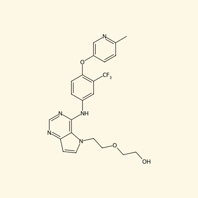 Cc1ccc(Oc2ccc(Nc3ncnc4ccn(CCOCCO)c34)cc2C(F)(F)F)cn1